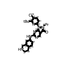 CC(C)n1c(=O)c2cnc(Nc3ccc4c(c3)CNCC4)nc2n1-c1ccc(Cl)c(C(C)(C)C)n1